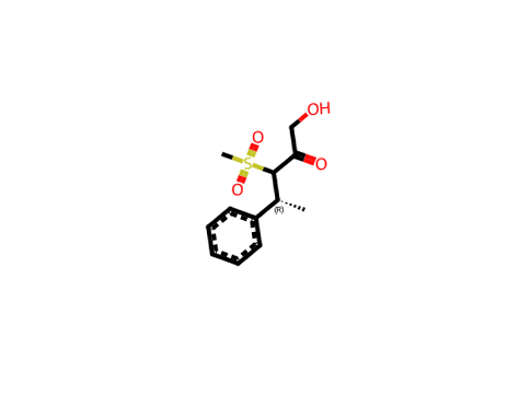 C[C@H](c1ccccc1)C(C(=O)CO)S(C)(=O)=O